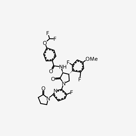 COc1cc(F)c([C@@H]2CN(c3nc(N4CCCC4=O)ccc3F)C(=O)[C@H]2NC(=O)c2ccc(OC(F)F)cc2)c(F)c1